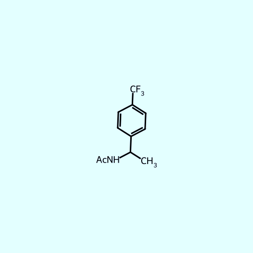 CC(=O)NC(C)c1ccc(C(F)(F)F)cc1